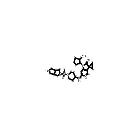 CC1CCCC1N1C(=O)C2(CC2)c2cnc(NC3CCN(S(=O)(=O)N4CC5CNCC5C4)CC3)nc21